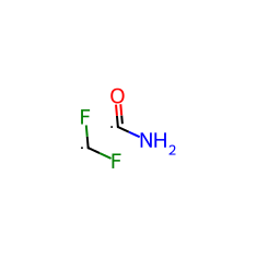 F[CH]F.N[C]=O